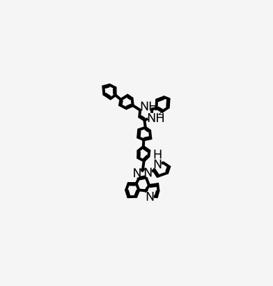 NC(/C=C(\NCc1ccccc1)c1ccc(-c2ccc(-c3nc4c5ccccc5c5ncccc5c4n3C3=CC=CCN3)cc2)cc1)c1ccc(-c2ccccc2)cc1